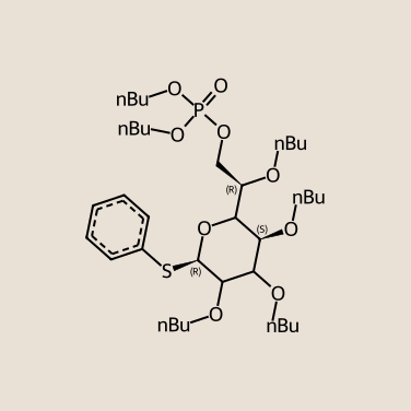 CCCCOC1C(OCCCC)[C@@H](Sc2ccccc2)OC([C@@H](COP(=O)(OCCCC)OCCCC)OCCCC)[C@H]1OCCCC